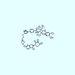 CC1(C)C(NC(=O)c2ccc(-n3cc(CCCN4CC(Oc5ccc6c(c5)CN(C5CCC(=O)NC5=O)C6=O)C4)nn3)cc2)C(C)(C)C1Oc1ccc(C#N)c(Cl)c1